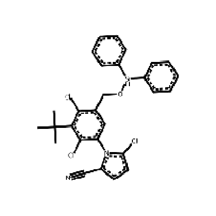 CC(C)(C)c1c(Cl)c(CO[SiH](c2ccccc2)c2ccccc2)cc(-n2c(Cl)ccc2C#N)c1Cl